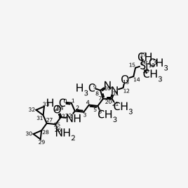 C=C/C(=C\C=C(/C)c1c(C)nn(COCC[Si](C)(C)C)c1C)NC(=O)[C@@H](N)C(C1CC1)C1CC1